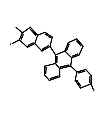 Fc1ccc(-c2c3ccccc3c(-c3ccc4cc(F)c(F)cc4c3)c3ccccc23)cc1